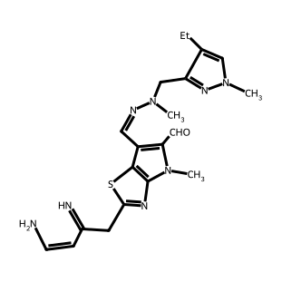 CCc1cn(C)nc1CN(C)/N=C\c1c(C=O)n(C)c2nc(CC(=N)/C=C\N)sc12